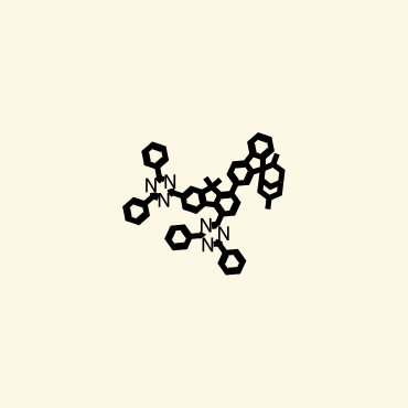 CC1CC2CC(C)C3(c4ccccc4-c4ccc(-c5ccc(-c6nc(-c7ccccc7)nc(-c7ccccc7)n6)c6c5C(C)(C)c5cc(-c7nc(-c8ccccc8)nc(-c8ccccc8)n7)ccc5-6)cc43)C(C1)C2